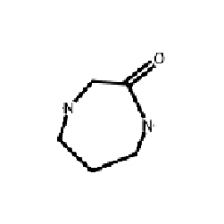 O=C1C[N]CCC[N]1